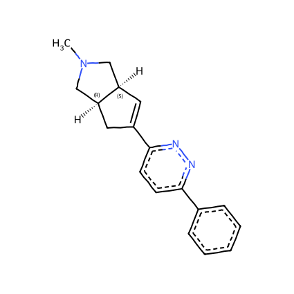 CN1C[C@@H]2CC(c3ccc(-c4ccccc4)nn3)=C[C@@H]2C1